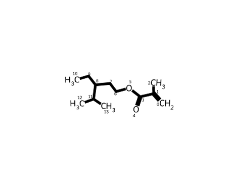 C=C(C)C(=O)OCCC(CC)C(C)C